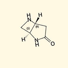 O=C1C[C@H]2NC[C@@H]2N1